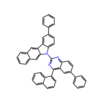 c1ccc(-c2ccc3nc(-n4c5ccc(-c6ccccc6)cc5c5cc6ccccc6cc54)nc(-c4cccc5ccccc45)c3c2)cc1